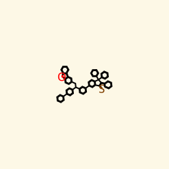 c1ccc(-c2ccc(C(Cc3ccc4oc5ccccc5c4c3)c3cccc(-c4ccc5c(c4)-c4sc6ccccc6c4C5(c4ccccc4)c4ccccc4)c3)cc2)cc1